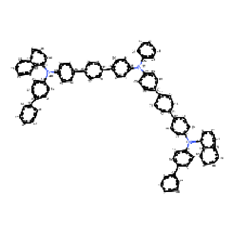 c1ccc(-c2ccc(N(c3ccc(-c4ccc(-c5ccc(N(c6ccccc6)c6ccc(-c7ccc(-c8ccc(N(c9ccc(-c%10ccccc%10)cc9)c9cccc%10ccccc9%10)cc8)cc7)cc6)cc5)cc4)cc3)c3cccc4ccccc34)cc2)cc1